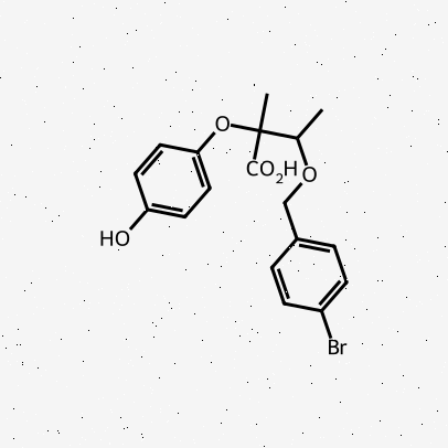 CC(OCc1ccc(Br)cc1)C(C)(Oc1ccc(O)cc1)C(=O)O